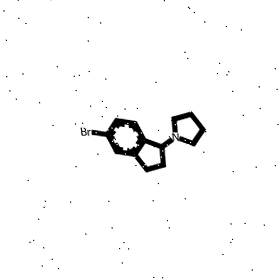 Brc1ccc2c(c1)CCC2N1CCCC1